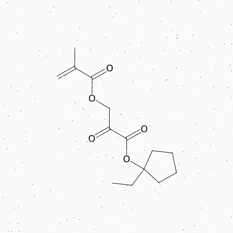 C=C(C)C(=O)OCC(=O)C(=O)OC1(CC)CCCC1